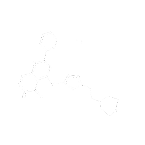 Cl.O=c1[nH]ncc2nc(-c3ccccc3)nc(Nc3cnn(CCN4CCNCC4)c3)c12